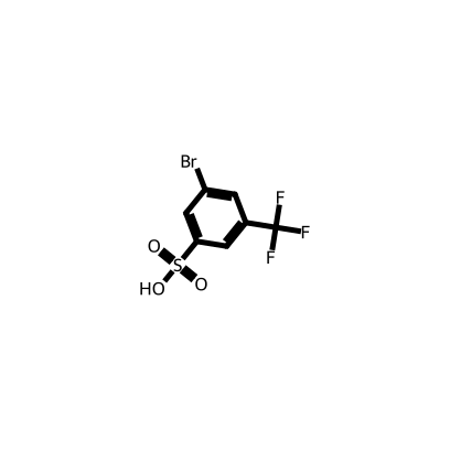 O=S(=O)(O)c1cc(Br)cc(C(F)(F)F)c1